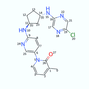 Cc1cccn(-c2ccc(N[C@H]3CC[C@H](Nc4cnc(Cl)cn4)C3)nc2)c1=O